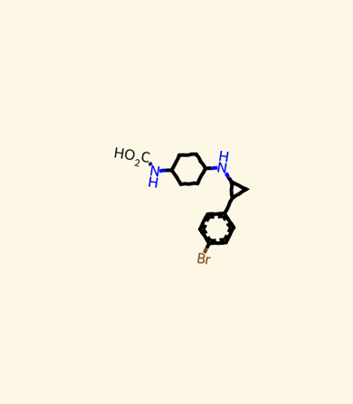 O=C(O)NC1CCC(NC2CC2c2ccc(Br)cc2)CC1